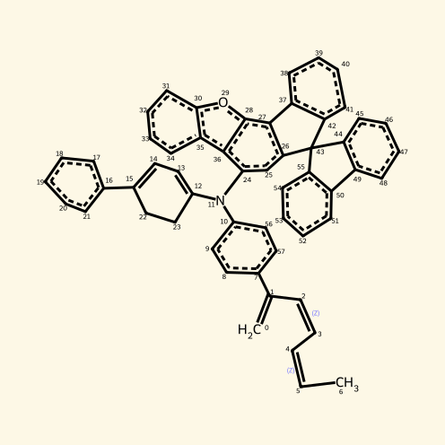 C=C(/C=C\C=C/C)c1ccc(N(C2=CC=C(c3ccccc3)CC2)c2cc3c(c4oc5ccccc5c24)-c2ccccc2C32c3ccccc3-c3ccccc32)cc1